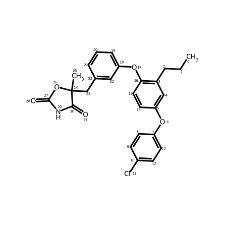 CCCc1cc(Oc2ccc(Cl)cc2)ccc1Oc1cccc(CC2(C)OC(=O)NC2=O)c1